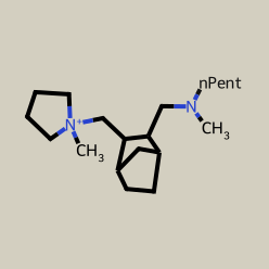 CCCCCN(C)CC1C2CCC(C2)C1C[N+]1(C)CCCC1